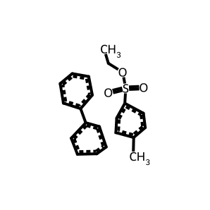 CCOS(=O)(=O)c1ccc(C)cc1.c1ccc(-c2ccccc2)cc1